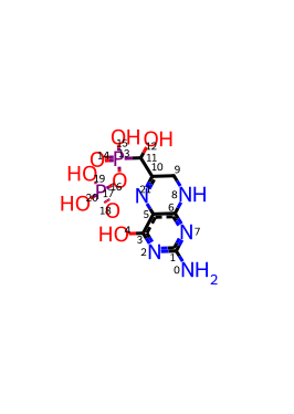 Nc1nc(O)c2c(n1)NCC(C(O)P(=O)(O)OP(=O)(O)O)=N2